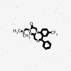 CN(C)CN1N=C2CN=C(c3ccccc3)c3cc(C(F)(F)F)ccc3N2CC1=O